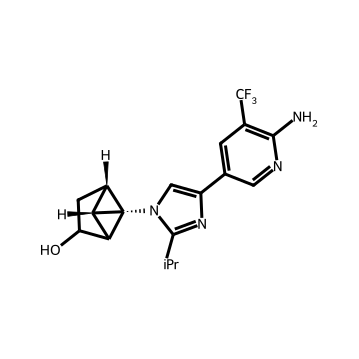 CC(C)c1nc(-c2cnc(N)c(C(F)(F)F)c2)cn1[C@@]12C3C(O)C[C@H]1[C@@H]32